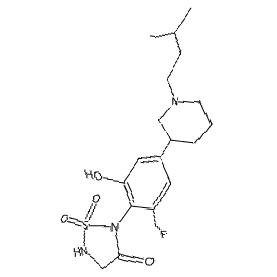 CC(C)CCN1CCCC(c2cc(O)c(N3C(=O)CNS3(=O)=O)c(F)c2)C1